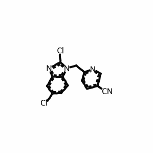 N#Cc1ccc(Cn2c(Cl)nc3cc(Cl)ccc32)nc1